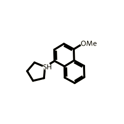 COc1ccc([SH]2CCCC2)c2ccccc12